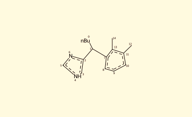 CCCCC(c1c[nH]cn1)c1cccc(C)c1C